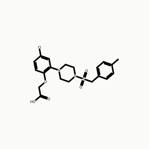 Cc1ccc(CS(=O)(=O)N2CCN(c3cc(Cl)ccc3OCC(=O)O)CC2)cc1